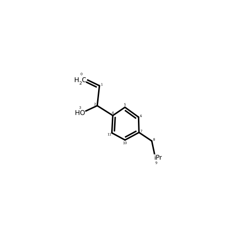 C=CC(O)c1ccc(CC(C)C)cc1